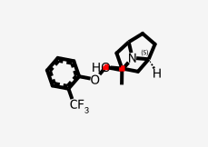 CC1(O)CC2CC[C@@H](C1)N2CCOc1ccccc1C(F)(F)F